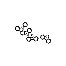 c1ccc(-n2c3ccccc3c3ccc4c(c5ccccc5n4-c4cccc5c4sc4cc(-c6ccc7oc8ccccc8c7c6)ccc45)c32)cc1